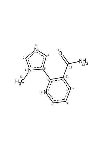 Cn1cncc1-c1ncccc1C(N)=O